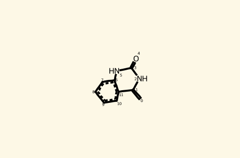 C=C1NC(=O)Nc2ccccc21